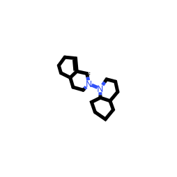 [C]1C2=CCCCC2CCN1N1CCCC2CCCCC21